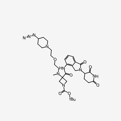 CN(CCOCCN1CCC(N=[N+]=[N-])CC1)C1(C(=O)Nc2cccc3c2CN(C2CCC(=O)NC2=O)C3=O)CN(C(=O)OC(C)(C)C)C1